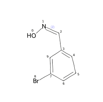 O/N=C\c1cccc(Br)c1